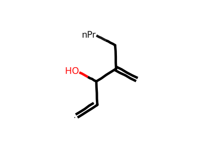 [CH]=CC(O)C(=C)CCCC